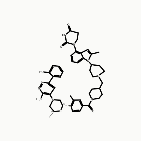 Cc1cc(C(=O)N2CCC(CN3CCC(n4c(C)cc5c(N6CCC(=O)NC6=O)cccc54)CC3)CC2)ccc1[C@H]1CN(c2cc(-c3ccccc3O)nnc2N)C[C@@H](C)O1